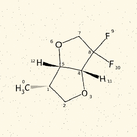 C[C@H]1CO[C@@H]2[C@H]1OCC2(F)F